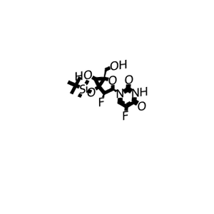 CC(C)(C)[Si](C)(C)OC12C(O)[C@]1(CO)O[C@@H](n1cc(F)c(=O)[nH]c1=O)[C@H]2F